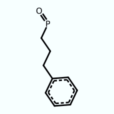 O=PCCCc1ccccc1